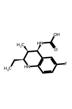 CC[C@@H]1Nc2ccc(F)cc2[C@H](NC(=O)O)[C@@H]1C